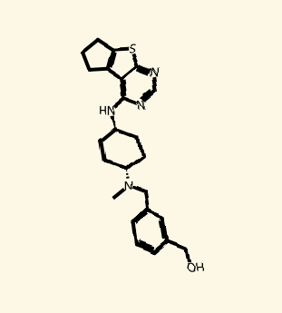 CN(Cc1cccc(CO)c1)[C@H]1CC[C@H](Nc2ncnc3sc4c(c23)CCC4)CC1